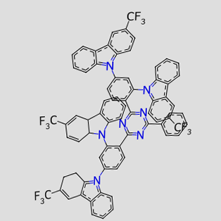 FC(F)(F)C1=CC2c3ccccc3N(c3cc(-n4c5c(c6ccccc64)C=C(C(F)(F)F)CC5)ccc3-c3nc(-c4ccccc4)nc(-c4ccc(-n5c6ccccc6c6cc(C(F)(F)F)ccc65)cc4-n4c5ccccc5c5cc(C(F)(F)F)ccc54)n3)C2C=C1